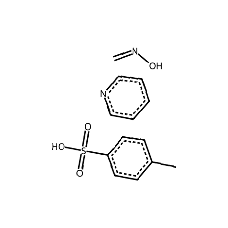 C=NO.Cc1ccc(S(=O)(=O)O)cc1.c1ccncc1